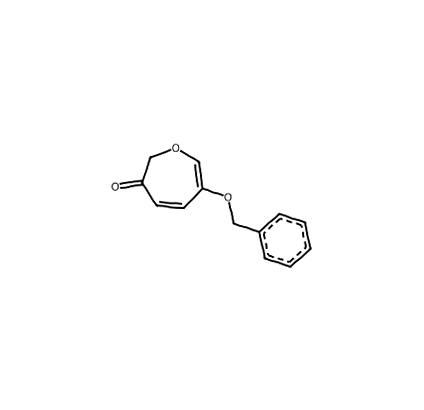 O=C1C=CC(OCc2ccccc2)=COC1